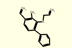 C=CCOc1c(-c2ccccc2)ccc(C=C)c1C